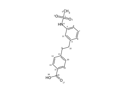 CS(=O)(=O)Nc1cccc(CCc2ccc(C(=O)O)cc2)c1